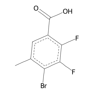 Cc1cc(C(=O)O)c(F)c(F)c1Br